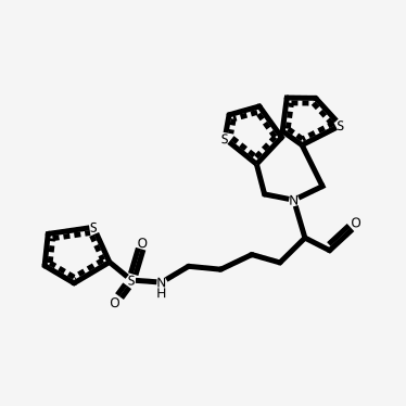 O=C[C](CCCCNS(=O)(=O)c1cccs1)N(Cc1cccs1)Cc1cccs1